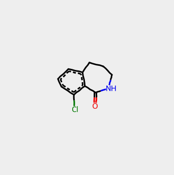 O=C1NCCCc2cccc(Cl)c21